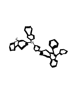 c1ccc(-c2c(-c3ccccc3)c3cc(-c4ccc(N(c5ccc6ccccc6c5)c5ccc6c(c5)sc5ccccc56)cc4)ccc3c3ccccc23)cc1